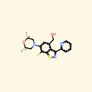 C[C@@H]1CN(c2cc(CO)c3c(-c4ccccn4)nsc3c2F)C[C@H](C)O1